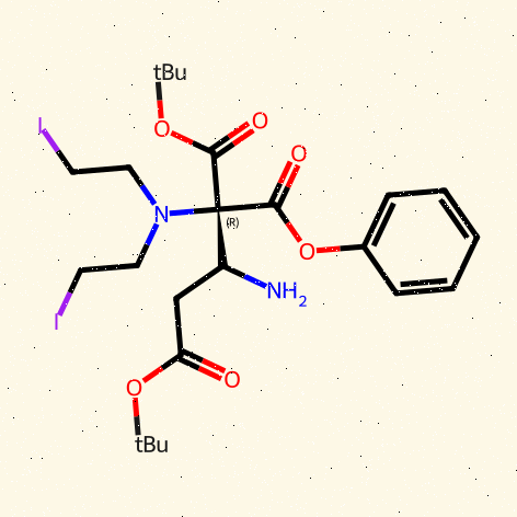 CC(C)(C)OC(=O)CC(N)[C@](C(=O)Oc1ccccc1)(C(=O)OC(C)(C)C)N(CCI)CCI